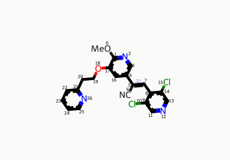 COc1ncc(/C(C#N)=C/c2c(Cl)cncc2Cl)cc1OCCc1ccccn1